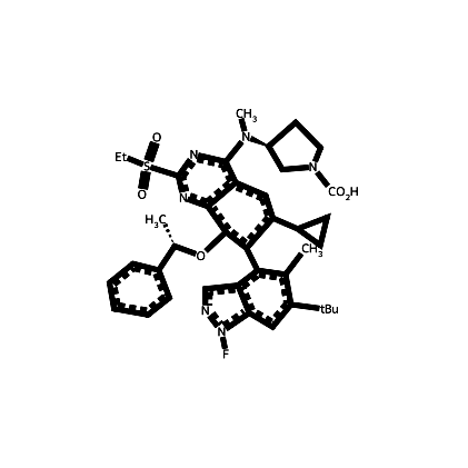 CCS(=O)(=O)c1nc(N(C)[C@H]2CCN(C(=O)O)C2)c2cc(C3CC3)c(-c3c(C)c(C(C)(C)C)cc4c3cnn4F)c(O[C@@H](C)c3ccccc3)c2n1